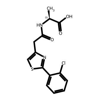 C[C@H](NC(=O)Cc1csc(-c2ccccc2Cl)n1)C(=O)O